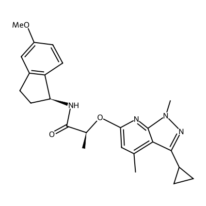 COc1ccc2c(c1)CC[C@@H]2NC(=O)[C@H](C)Oc1cc(C)c2c(C3CC3)nn(C)c2n1